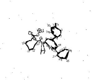 Cc1ccc(-c2cc(NC(=O)C3CCCN3C(=O)OC(C)(C)C)nc(-c3ccccc3)c2)cc1